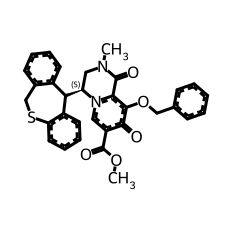 COC(=O)c1cn2c(c(OCc3ccccc3)c1=O)C(=O)N(C)C[C@@H]2C1c2ccccc2CSc2ccccc21